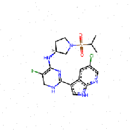 CC(C)S(=O)(=O)N1CC[C@H](NC2=C(F)CNC(c3c[nH]c4ncc(Cl)cc34)=N2)C1